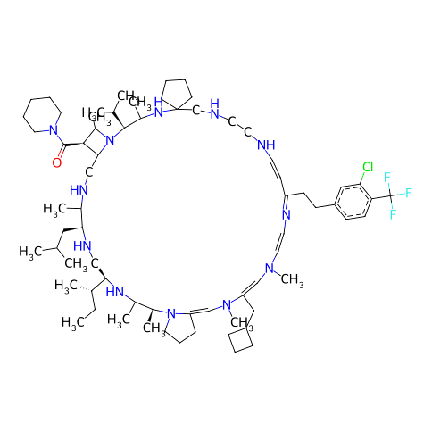 CC[C@H](C)[C@H]1CN[C@@H](CC(C)C)C(C)NCC2[C@@H](C(=O)N3CCCCC3)C(C)N2[C@@H](C(C)C)C(C)NC2(CCCC2)CNCCNC=CC(CCc2ccc(C(F)(F)F)c(Cl)c2)=NC=CN(C)C=C(CC2CCC2)N(C)C=C2CCCN2[C@@H](C)C(C)N1